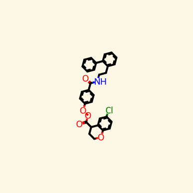 O=C(NCCc1ccccc1-c1ccccc1)c1ccc(OOC(=O)C2CCOc3ccc(Cl)cc32)cc1